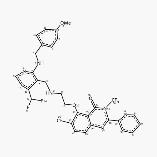 COc1ccc(CNc2nccc(C(F)F)c2CNCCOc2c(Cl)ccc3nc(-c4ccccn4)n(C(F)(F)F)c(=O)c23)cc1